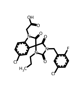 CCCN1C(=O)N(Cc2cc(Cl)ccc2F)C(=O)C12C(=O)N(CC(=O)O)c1ccc(Cl)cc12